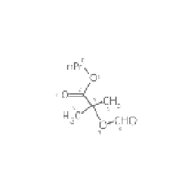 CCCOC(=O)C(C)(C)O[C]=O